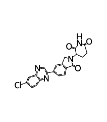 O=C1CCC(N2Cc3cc(-c4cnc5cc(Cl)ccc5n4)ccc3C2=O)C(=O)N1